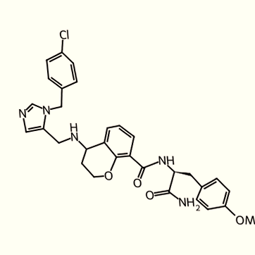 COc1ccc(C[C@H](NC(=O)c2cccc3c2OCCC3NCc2cncn2Cc2ccc(Cl)cc2)C(N)=O)cc1